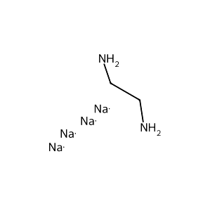 NCCN.[Na].[Na].[Na].[Na]